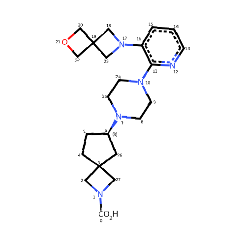 O=C(O)N1CC2(CC[C@@H](N3CCN(c4ncccc4N4CC5(COC5)C4)CC3)C2)C1